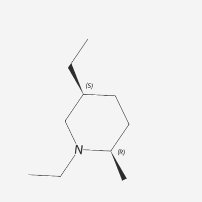 CC[C@H]1CC[C@@H](C)N(CC)C1